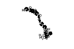 CC(=O)c1c(C)c2cnc(Nc3ccc(N4CCN(CCOCCC(=O)N5CCC6(CC5)COc5cc7c(cc5O6)CN(C5CCCNC5)C7=O)CC4)cn3)nc2n(C2CCCC2)c1=O